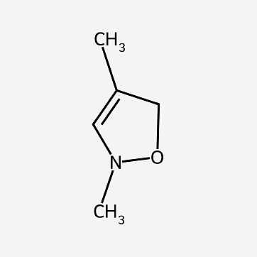 CC1=CN(C)OC1